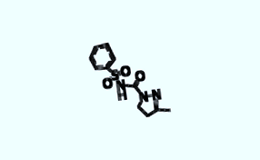 CC1=NN(C(=O)NS(=O)(=O)c2ccccc2)CC1